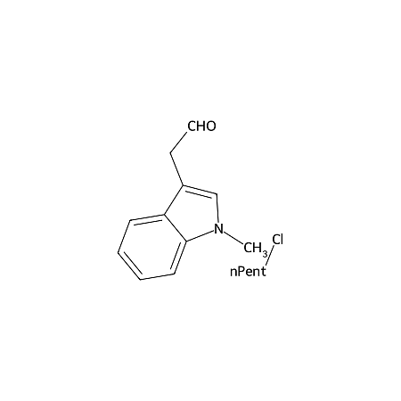 CCCCCCl.Cn1cc(CC=O)c2ccccc21